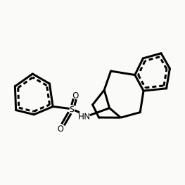 O=S(=O)(NC1C2CCC1Cc1ccccc1C2)c1ccccc1